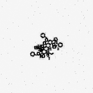 C=CCN(CC=C)[C@@H]1c2onc(OCc3ccccc3)c2C(=O)[C@@]2(O[Si](C)(C)C(C)(C)C)C(O)=C3C(=O)c4c(OCc5ccccc5)cc(C5CCCN5Cc5ccccc5)c(OC(F)(F)F)c4C[C@H]3C[C@@H]12